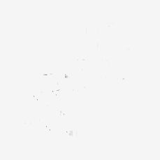 C#C[C@]1(O)[C@H](n2cnc3c(=O)[nH]c(N)nc32)O[C@](F)(COP(=O)(O)OP(=O)(O)OP(=O)(O)O)[C@H]1O